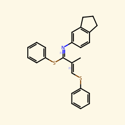 CC(=C\Sc1ccccc1)/C(=N\c1ccc2c(c1)CCC2)Sc1ccccc1